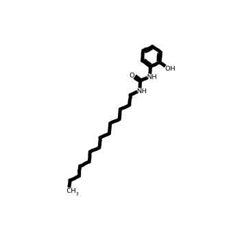 CCCCCCCCCCCCCCNC(=O)Nc1ccccc1O